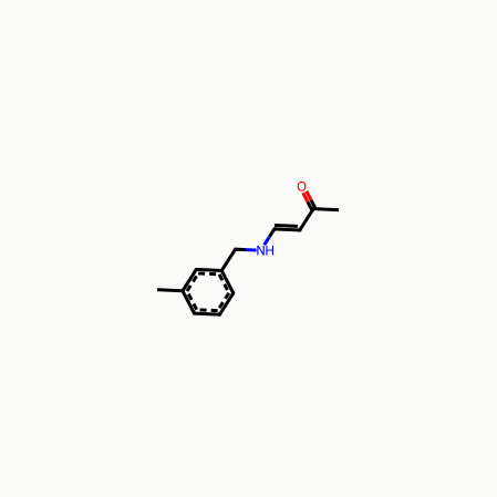 CC(=O)C=CNCc1cccc(C)c1